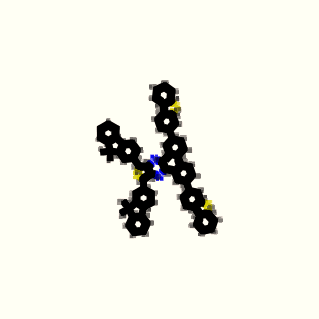 CC1(C)c2ccccc2-c2ccc(-c3sc(-c4ccc5c(c4)C(C)(C)c4ccccc4-5)c4nc5c6cc(-c7ccc8c(c7)sc7ccccc78)ccc6c6ccc(-c7ccc8c(c7)sc7ccccc78)cc6c5nc34)cc21